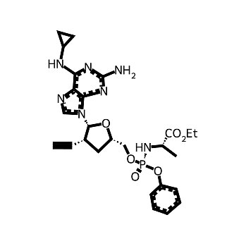 C#C[C@H]1C[C@@H](CO[P@@](=O)(N[C@@H](C)C(=O)OCC)Oc2ccccc2)O[C@H]1n1cnc2c(NC3CC3)nc(N)nc21